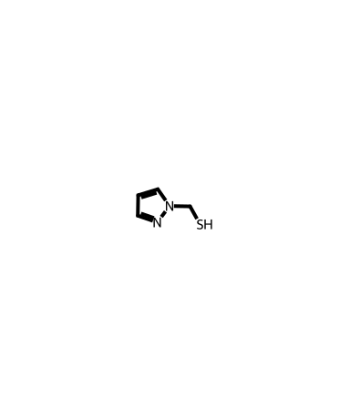 SCn1cccn1